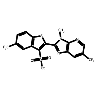 CCS(=O)(=O)c1c(-c2nc3cc(C(F)(F)F)cnc3n2C)sc2ccc(C(F)(F)F)cc12